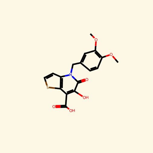 COc1ccc(Cn2c(=O)c(O)c(C(=O)O)c3sccc32)cc1OC